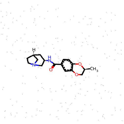 C[C@H]1COc2cc(C(=O)N[C@@H]3C[C@@H]4CCN(C4)C3)ccc2O1